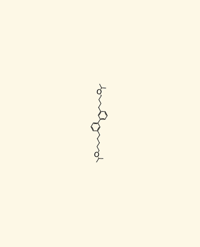 CC(C)OCCCCCc1cccc(-c2cccc(CCCCOC(C)C)c2)c1